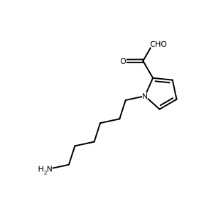 NCCCCCCn1cccc1C(=O)C=O